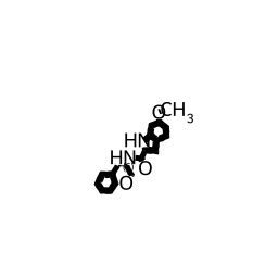 COc1ccc2cc(C(=O)N[C@H](C=O)Cc3ccccc3)[nH]c2c1